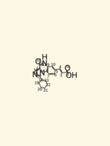 O=C(O)/C=C/c1ccc2c(c1)[nH]c(=O)c1cnc(C3CCCCC3)n12